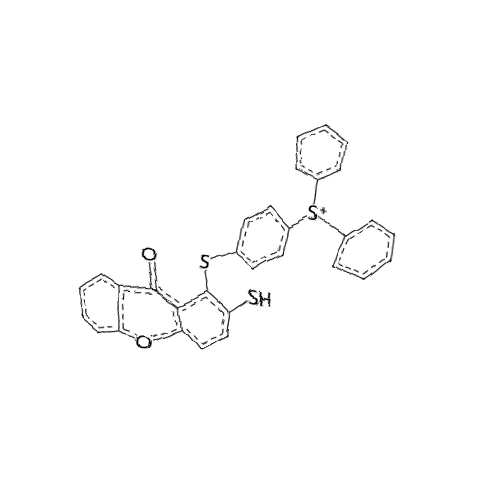 O=c1c2ccccc2oc2ccc(S)c(Sc3ccc([S+](c4ccccc4)c4ccccc4)cc3)c12